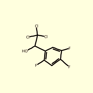 OC(c1cc(F)c(F)cc1F)C(Cl)(Cl)Cl